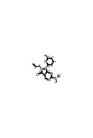 C=CCn1c(=O)c2cnc([S+](C)[O-])nc2n1-c1cccc(C)n1